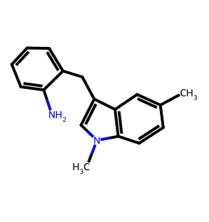 Cc1ccc2c(c1)c(Cc1ccccc1N)cn2C